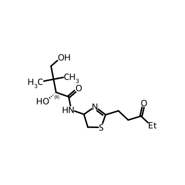 CCC(=O)CCC1=NC(NC(=O)[C@H](O)C(C)(C)CO)CS1